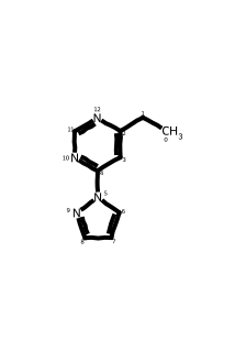 CCc1cc(-n2cccn2)ncn1